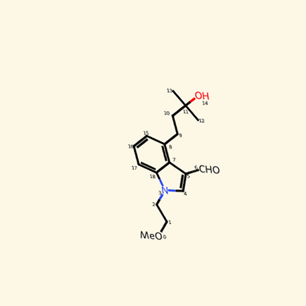 COCCn1cc(C=O)c2c(CCC(C)(C)O)cccc21